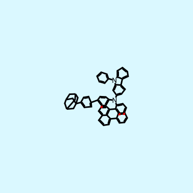 C1=C=C(c2cccc3cccc(C4=CC=CCC4)c23)C(N(c2ccc(-c3ccc(C45CC6CC(CC(C6)C4)C5)cc3)cc2)c2ccc3c4ccccc4n(-c4ccccc4)c3c2)=CC=1